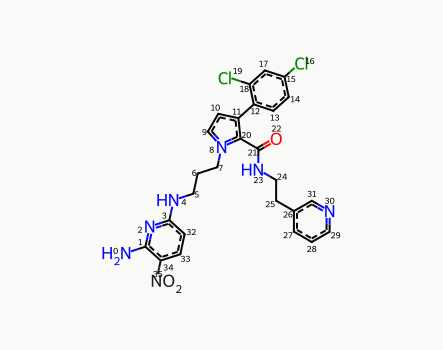 Nc1nc(NCCCn2ccc(-c3ccc(Cl)cc3Cl)c2C(=O)NCCc2cccnc2)ccc1[N+](=O)[O-]